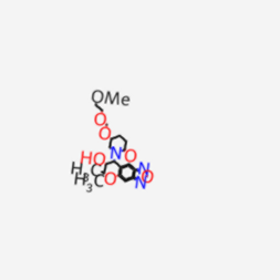 COCCOCO[C@@H]1CCC(=O)N(C2c3cc4nonc4cc3OC(C)(C)C2O)C1